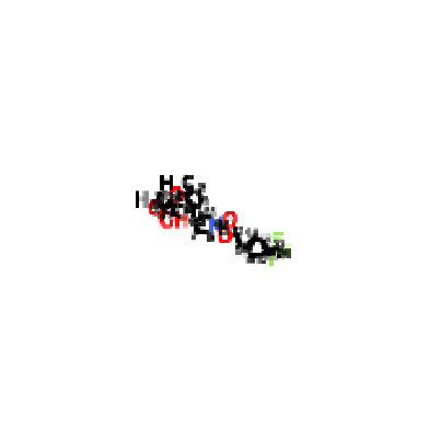 Cc1ccc([C@H]2CCCN(C(=O)OCCc3ccc(C(F)(F)F)cc3)C2)cc1OC(C)(C)C(=O)O